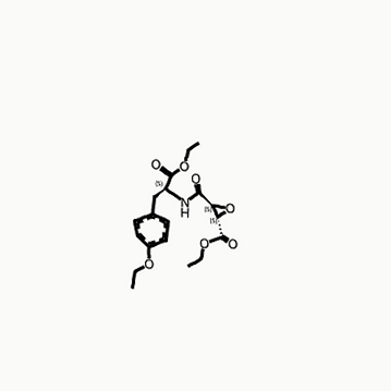 CCOC(=O)[C@H](Cc1ccc(OCC)cc1)NC(=O)[C@H]1O[C@@H]1C(=O)OCC